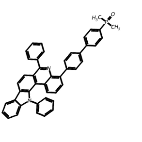 CP(C)(=O)c1ccc(-c2ccc(-c3cccc4c3nc(-c3ccccc3)c3ccc5c6ccccc6n(-c6ccccc6)c5c34)cc2)cc1